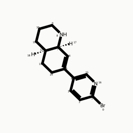 Brc1ccc(C2=C[C@@H]3NCCC[C@@H]3CC2)cn1